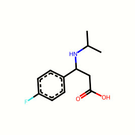 CC(C)NC(CC(=O)O)c1ccc(F)cc1